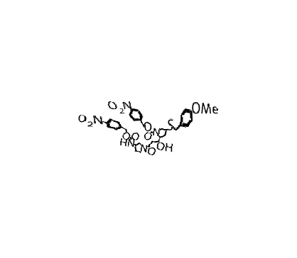 COc1ccc(CS[C@H]2C[C@@H](C(O)CC(=O)N3CCC(NC(=O)OCc4ccc([N+](=O)[O-])cc4)C3)N(C(=O)OCc3ccc([N+](=O)[O-])cc3)C2)cc1